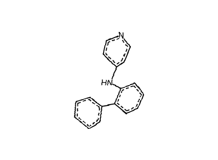 c1ccc(-c2ccccc2Nc2ccncc2)cc1